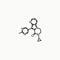 Cc1ncc(-c2c3n(c4cccnc24)CCN(C2CC2)C3=O)cn1